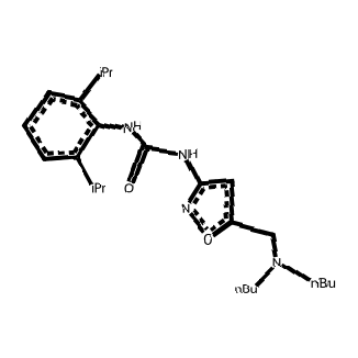 CCCCN(CCCC)Cc1cc(NC(=O)Nc2c(C(C)C)cccc2C(C)C)no1